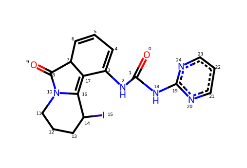 O=C(NC1=CC=CC2C(=O)N3CCCC(I)C3=C12)Nc1ncccn1